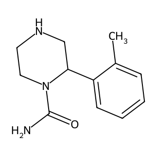 Cc1ccccc1C1CNCCN1C(N)=O